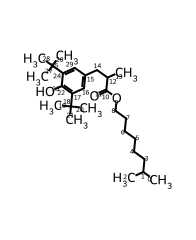 CC(C)CCCCCCOC(=O)C(C)Cc1cc(C(C)(C)C)c(O)c(C(C)(C)C)c1